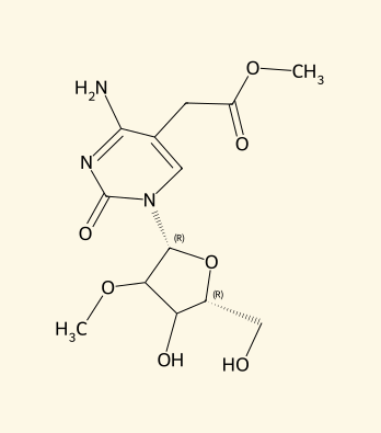 COC(=O)Cc1cn([C@@H]2O[C@H](CO)C(O)C2OC)c(=O)nc1N